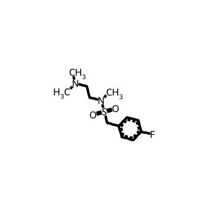 CN(C)CCN(C)S(=O)(=O)Cc1ccc(F)cc1